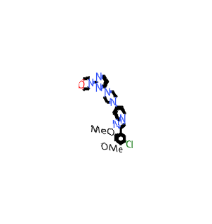 COc1cc(OC)c(-c2cn3ccc(N4CCN(c5ccnc(N6CCOCC6)n5)CC4)cc3n2)cc1Cl